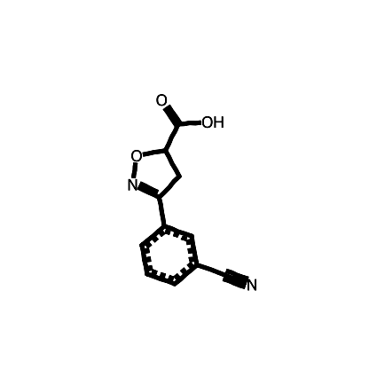 N#Cc1cccc(C2=NOC(C(=O)O)C2)c1